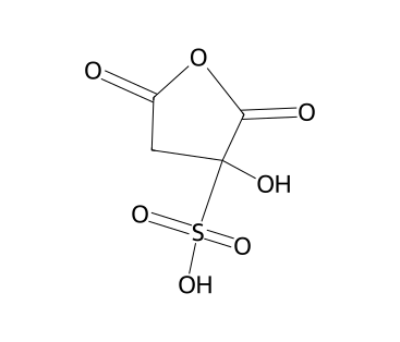 O=C1CC(O)(S(=O)(=O)O)C(=O)O1